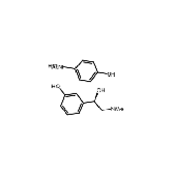 CC(=O)Nc1ccc(O)cc1.CNC[C@H](O)c1cccc(O)c1.Cl